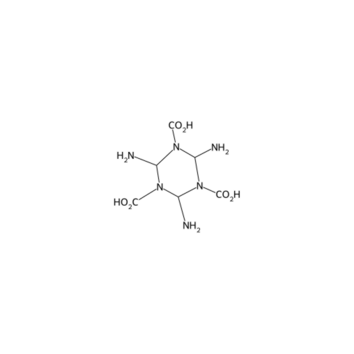 NC1N(C(=O)O)C(N)N(C(=O)O)C(N)N1C(=O)O